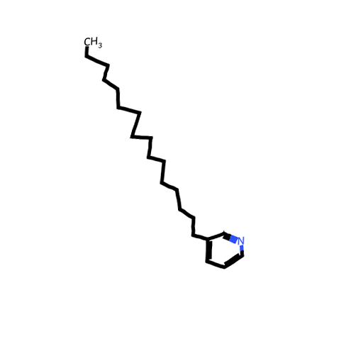 CCCCCCCCCCCCCCCCc1[c]nccc1